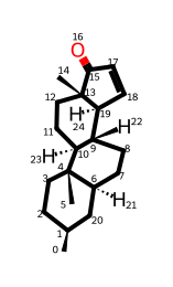 C[C@H]1CC[C@@]2(C)[C@@H](CC[C@@H]3[C@@H]2CC[C@]2(C)C(=O)C=C[C@@H]32)C1